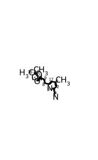 Cc1cc(C#N)nc(CCC(=O)OC(C)(C)C)c1